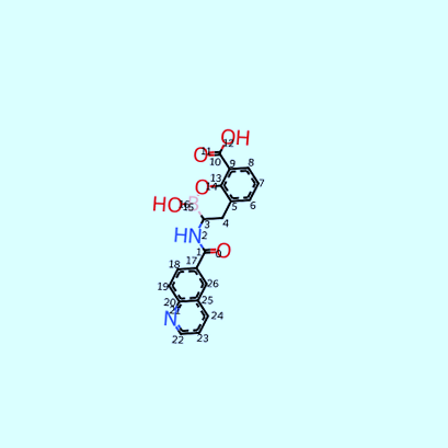 O=C(NC1Cc2cccc(C(=O)O)c2OB1O)c1ccc2ncccc2c1